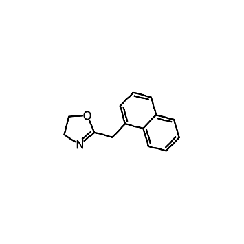 c1ccc2c(CC3=NCCO3)cccc2c1